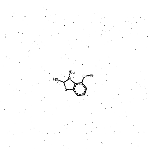 CCOc1cccc2c1N(C(C)(C)C)C(S)S2